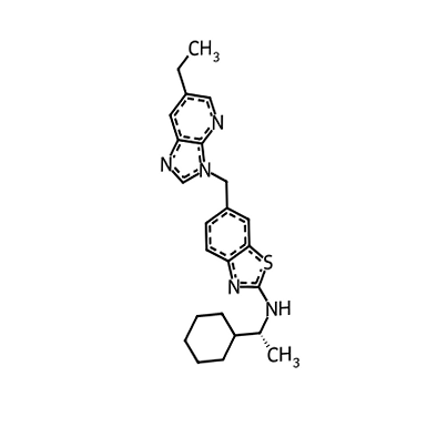 CCc1cnc2c(c1)ncn2Cc1ccc2nc(N[C@H](C)C3CCCCC3)sc2c1